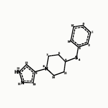 c1ccc(SC2CCN(c3cn[nH]c3)CC2)cc1